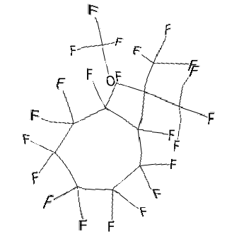 FC(F)(F)OC(C(F)(F)F)(C(F)(F)F)C1(F)C(F)(F)C(F)(F)C(F)(F)C(F)(F)C(F)(F)C1(F)F